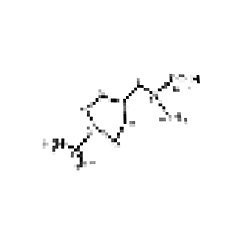 N=C(N)N1CCC(C[C@H](N)C(=O)O)CC1